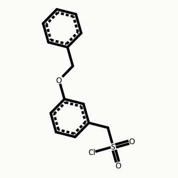 O=S(=O)(Cl)Cc1cccc(OCc2ccccc2)c1